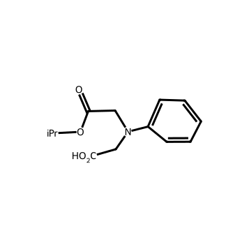 CC(C)OC(=O)CN(CC(=O)O)c1ccccc1